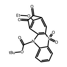 CCOc1c2cc3c(c1C(=O)C2=O)N(C(=O)OC(C)(C)C)c1ccccc1S3(=O)=O